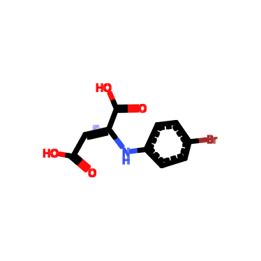 O=C(O)/C=C(\Nc1ccc(Br)cc1)C(=O)O